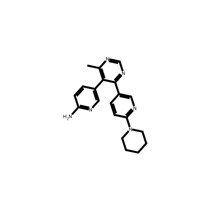 Cc1ncnc(-c2ccc(N3CCCCC3)nc2)c1-c1ccc(N)nc1